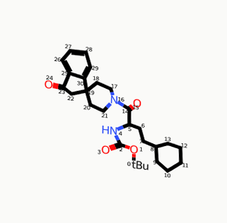 CC(C)(C)OC(=O)NC(CCC1CCCCC1)C(=O)N1CCC2(CC1)CC(=O)c1ccccc12